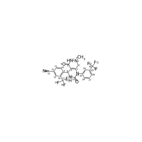 CN1CC2=C(C(=O)N1)C(c1ccc(C#N)cc1C(F)(F)F)NC(=O)N2c1cccc(C(F)(F)F)c1